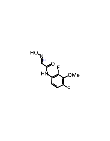 COc1c(F)ccc(NC(=O)/C=N/O)c1F